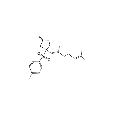 C=C1CCC(/C=C(\C)CCC=C(C)C)(S(=O)(=O)c2ccc(C)cc2)C1